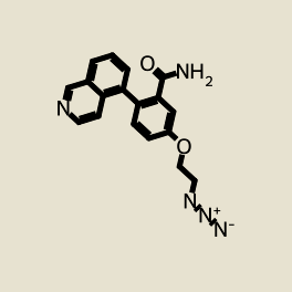 [N-]=[N+]=NCCOc1ccc(-c2cccc3cnccc23)c(C(N)=O)c1